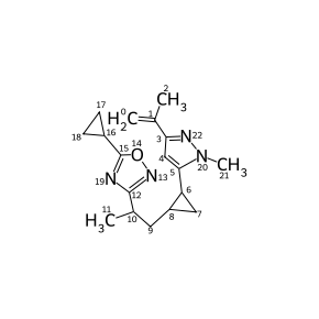 C=C(C)c1cc(C2CC2CC(C)c2noc(C3CC3)n2)n(C)n1